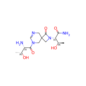 C[C@@H](O)[C@H](N)C(=O)N1C=NCC2(C1)CN([C@H](C(N)=O)[C@@H](C)O)C2=O